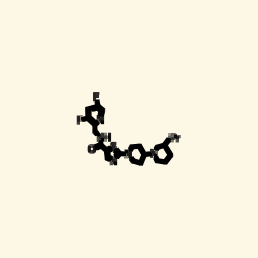 CC(C)C1CCCN(C2CCN(c3ncc(C(=O)NCc4ncc(F)cc4F)s3)CC2)C1